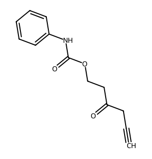 C#CCC(=O)CCOC(=O)Nc1ccccc1